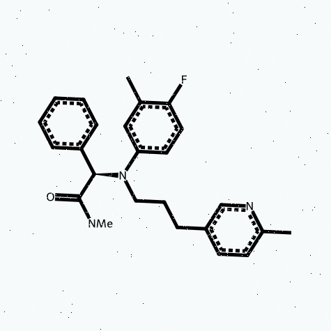 CNC(=O)[C@@H](c1ccccc1)N(CCCc1ccc(C)nc1)c1ccc(F)c(C)c1